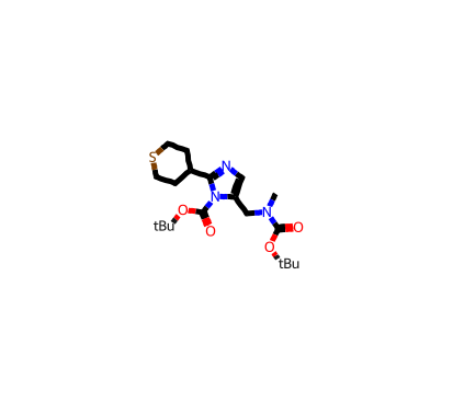 CN(Cc1cnc(C2CCSCC2)n1C(=O)OC(C)(C)C)C(=O)OC(C)(C)C